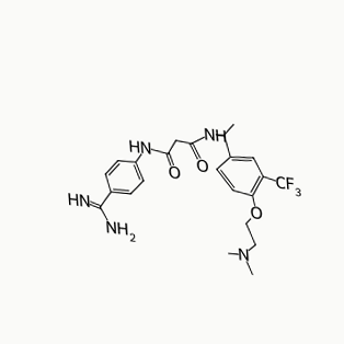 CC(NC(=O)CC(=O)Nc1ccc(C(=N)N)cc1)c1ccc(OCCN(C)C)c(C(F)(F)F)c1